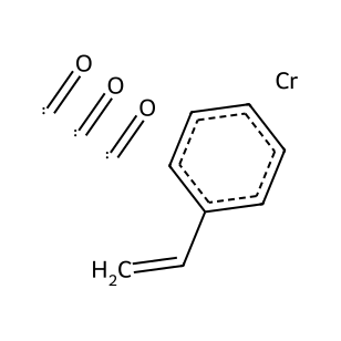 C=Cc1ccccc1.[C]=O.[C]=O.[C]=O.[Cr]